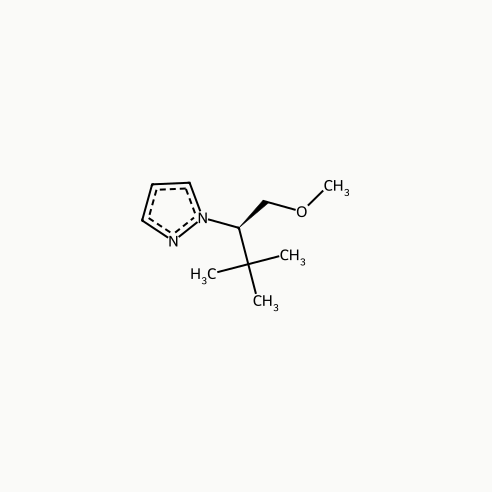 COC[C@H](n1cccn1)C(C)(C)C